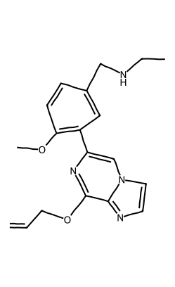 C=CCOc1nc(-c2cc(CNCC)ccc2OC)cn2ccnc12